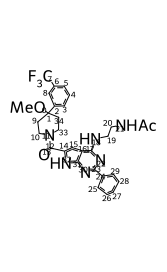 COC1(c2cccc(C(F)(F)F)c2)CCN(C(=O)c2cc3c(NCCNC(C)=O)nc(-c4ccccc4)nc3[nH]2)CC1